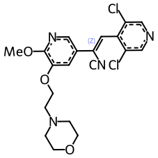 COc1ncc(/C(C#N)=C/c2c(Cl)cncc2Cl)cc1OCCN1CCOCC1